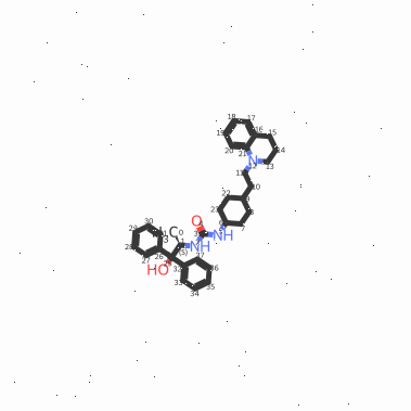 C[C@H](NC(=O)NC1CCC(CCN2CCCc3ccccc32)CC1)C(O)(c1ccccc1)c1ccccc1